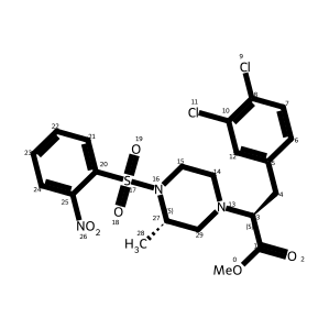 COC(=O)[C@H](Cc1ccc(Cl)c(Cl)c1)N1CCN(S(=O)(=O)c2ccccc2[N+](=O)[O-])[C@@H](C)C1